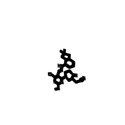 CSc1nc(Cl)c(/C=N/Nc2cccc3c2CC(C)(C)C3)c(N2CCNC(CC#N)C2)n1